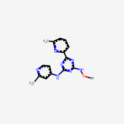 CC(C)ONc1nc(Nc2ccnc(C(F)(F)F)c2)nc(-c2cccc(C(F)(F)F)n2)n1